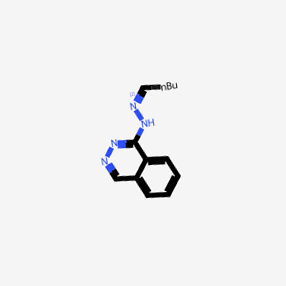 CCCC/C=N\Nc1nncc2ccccc12